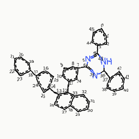 c1ccc(C2=NC(c3cccc(-c4c(-c5ccc(-c6ccccc6)cc5)ccc5ccccc45)c3)=NC(c3ccccc3)N2)cc1